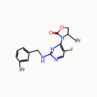 CC(C)c1cccc(CNc2ncc(F)c(N3C(=O)OCC3C(C)C)n2)c1